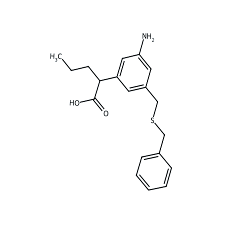 CCCC(C(=O)O)c1cc(N)cc(CSCc2ccccc2)c1